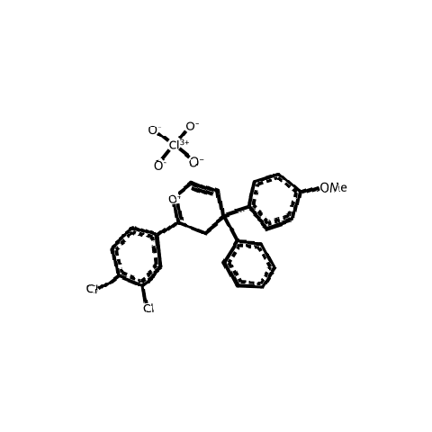 COc1ccc(C2(c3ccccc3)C=C[O+]=C(c3ccc(Cl)c(Cl)c3)C2)cc1.[O-][Cl+3]([O-])([O-])[O-]